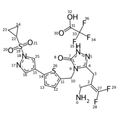 NCC(Cc1n[nH]c(=O)n1Cc1ccc(-c2cnn(S(=O)(=O)C3CC3)c2)s1)=C(F)F.O=C(O)C(F)(F)F